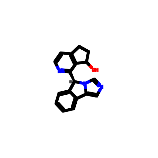 OC1CCc2ccnc([C@@H]3c4ccccc4-c4cncn43)c21